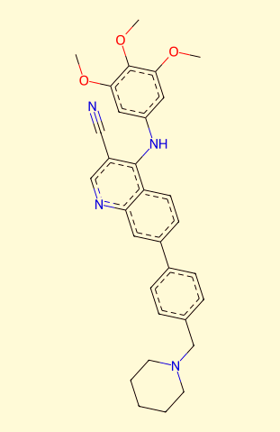 COc1cc(Nc2c(C#N)cnc3cc(-c4ccc(CN5CCCCC5)cc4)ccc23)cc(OC)c1OC